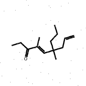 C=CCC(C)(/C=C(\C)C(=O)CC)CCC